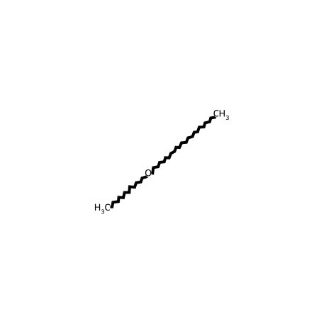 CCCCCCCCCCCCCCCCCCCCCCCCOCCCCCCCCCCCCCC